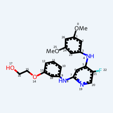 COc1cc(Nc2cc(Nc3cccc(OCCO)c3)ncc2F)cc(OC)c1